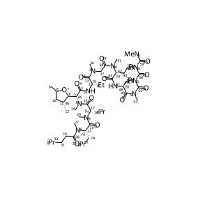 CC[C@H](NC(=O)[C@@H](C1OC(C)C[C@H]1C)N(C)C(=O)[C@H](C(C)C)N(C)C(=O)[C@H](CC(C)C)N(C)C(=O)CCC(C)C)C(=O)N(C)CC(=O)N(C)[C@@H](CC(C)C)C(=O)N[C@H](C(=O)N(C)C(=O)NC(=O)NC(=O)NC)C(C)C